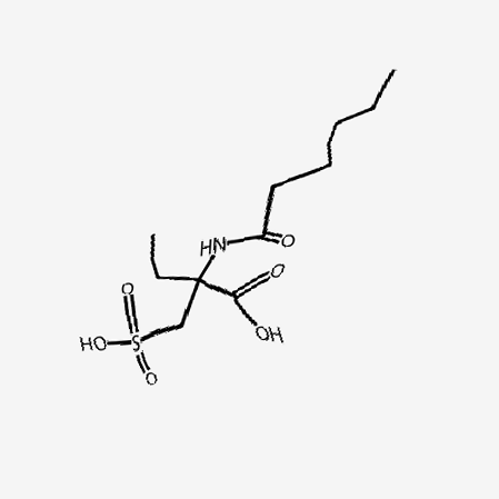 CCCCCC(=O)NC(CC)(CS(=O)(=O)O)C(=O)O